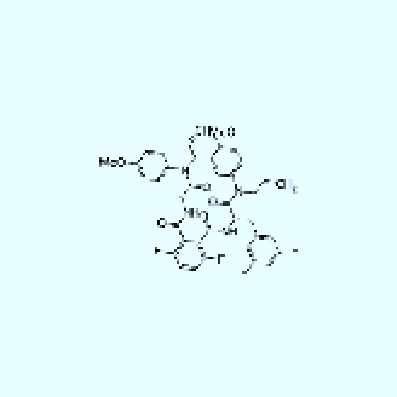 C=CCN(C(=O)CNC(=O)c1c(F)ccc(F)c1C(=O)N[C@@H](Cc1cc(F)cc(F)c1)C(=O)N(CC=C)c1ccc(OC)cc1)c1ccc(OC)cc1